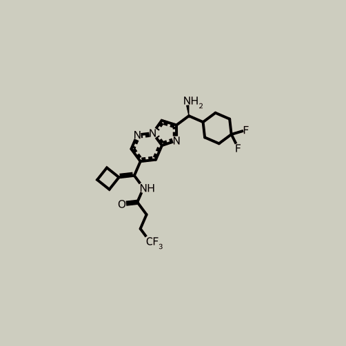 N[C@H](c1cn2ncc(C(NC(=O)CCC(F)(F)F)=C3CCC3)cc2n1)C1CCC(F)(F)CC1